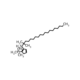 CCCCCCCCCCCCCCCCCC(C)(C)[SiH2]C1=[C]([Pt]([CH3])([CH3])[CH3])CC=C1